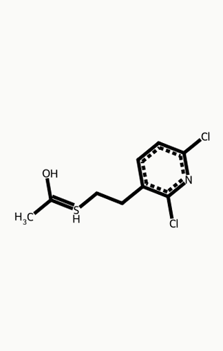 CC(O)=[SH]CCc1ccc(Cl)nc1Cl